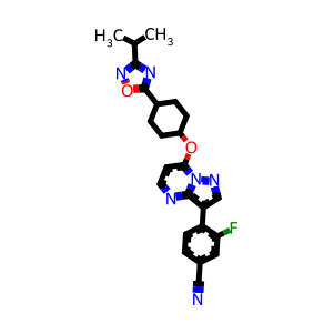 CC(C)c1noc(C2CCC(Oc3ccnc4c(-c5ccc(C#N)cc5F)cnn34)CC2)n1